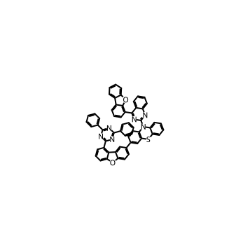 c1ccc(-c2nc(-c3ccccc3)nc(-c3cccc4oc5ccc(-c6ccc7c(c6)Sc6ccccc6N7c6nc(-c7cccc8c7oc7ccccc78)c7ccccc7n6)cc5c34)n2)cc1